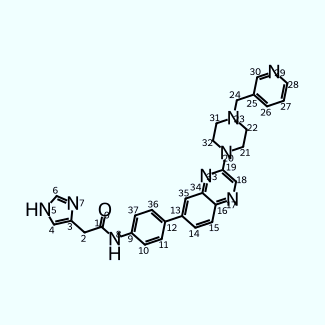 O=C(Cc1c[nH]cn1)Nc1ccc(-c2ccc3ncc(N4CCN(Cc5cccnc5)CC4)nc3c2)cc1